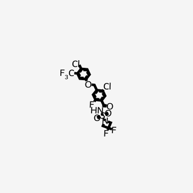 O=C(NS(=O)(=O)N1CC(F)(F)C1)c1cc(Cl)c(COc2ccc(Cl)c(C(F)(F)F)c2)cc1F